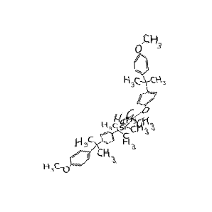 COc1ccc(C(C)(C)c2ccc(OC(C)(C)[Si](C)(C)C(C)(C)c3ccc(C(C)(C)c4ccc(OC)cc4)cc3)cc2)cc1